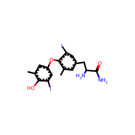 Cc1cc(Oc2c(C)cc(CC(N)C(N)=O)cc2I)cc(I)c1O